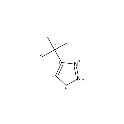 CC(C)(C)C1=CCN=N1